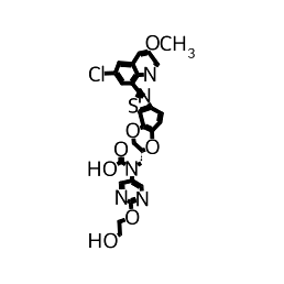 COc1cnc2c(-c3nc4ccc5c(c4s3)OC[C@@H](CN(C(=O)O)c3cnc(OCCO)nc3)O5)cc(Cl)cc2c1